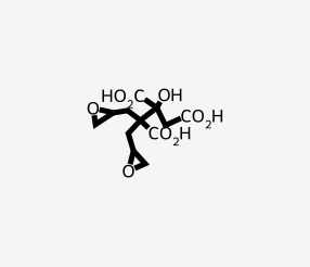 O=C(O)CC(O)(C(=O)O)C(CC1CO1)(CC1CO1)C(=O)O